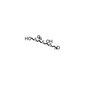 O=NCCSCC(O)CSCC(CSCCO)N=O